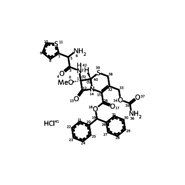 CO[C@@]1(NC(=O)C(N)c2cccs2)C(=O)N2C(C(=O)OC(c3ccccc3)c3ccccc3)=C(COC(N)=O)CS[C@H]21.Cl